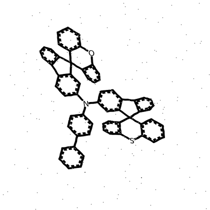 c1ccc(-c2ccc(N(c3ccc4c(c3)C3(c5ccccc5Oc5ccccc53)c3ccccc3-4)c3ccc4c(c3)C3(c5ccccc5Sc5ccccc53)c3ccccc3-4)cc2)cc1